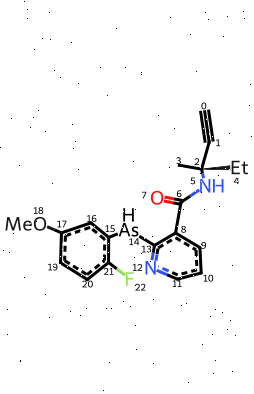 C#C[C@](C)(CC)NC(=O)c1cccnc1[AsH]c1cc(OC)ccc1F